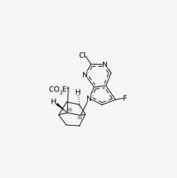 CCOC(=O)[C@H]1C2CCC(CC2)[C@@H]1n1cc(F)c2cnc(Cl)nc21